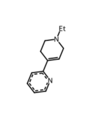 CCN1CC=C(c2ccccn2)CC1